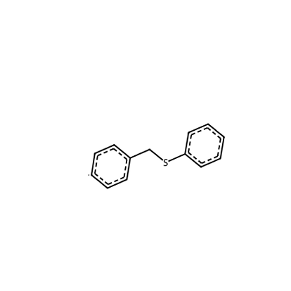 [c]1ccc(CSc2ccccc2)cc1